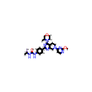 COc1nccc(N2CCc3c(nc(-c4ccc(NC(=O)NC(C)I)cc4)nc3N3CCOCC3C)C2)n1